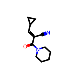 N#CC(=CC1CC1)C(=O)N1C[CH]CCC1